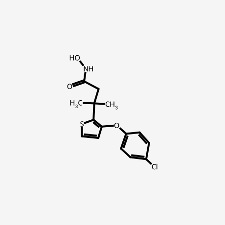 CC(C)(CC(=O)NO)c1sccc1Oc1ccc(Cl)cc1